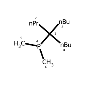 CCCCC(CCC)(CCCC)P(C)C